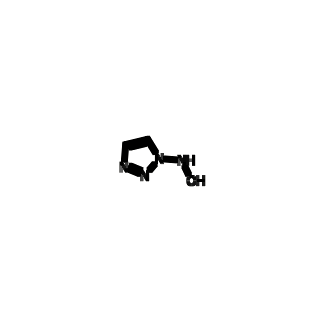 ONn1ccnn1